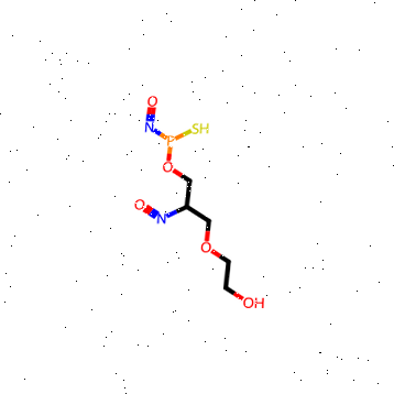 O=NC(COCCO)COP(S)N=O